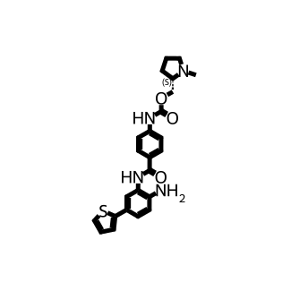 CN1CCC[C@H]1COC(=O)Nc1ccc(C(=O)Nc2cc(-c3cccs3)ccc2N)cc1